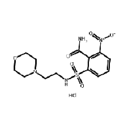 Cl.NC(=O)c1c([N+](=O)[O-])cccc1S(=O)(=O)NCCN1CCOCC1